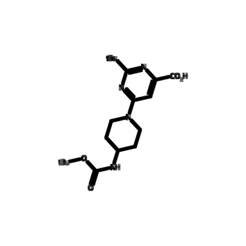 CC(C)(C)OC(=O)NC1CCN(c2cc(C(=O)O)nc(C(C)(C)C)n2)CC1